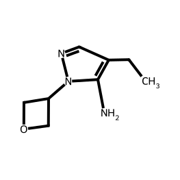 CCc1cnn(C2COC2)c1N